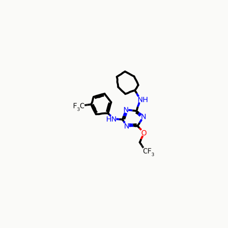 FC(F)(F)COc1nc(Nc2cccc(C(F)(F)F)c2)nc(NC2CCCCCC2)n1